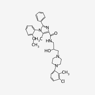 COc1ccccc1-n1c(-c2ccccc2)nc(C(=O)NCC(O)CN2CCN(c3cccc(Cl)c3C)CC2)c1C